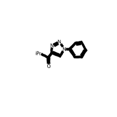 CC(C)C(=O)c1cn(-c2ccccc2)nn1